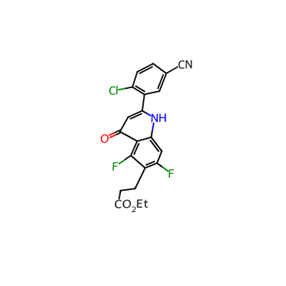 CCOC(=O)CCc1c(F)cc2[nH]c(-c3cc(C#N)ccc3Cl)cc(=O)c2c1F